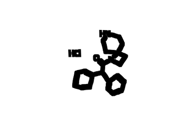 Cl.O=C(C(c1ccccc1)c1ccccc1)N1CCC12CCNCC2